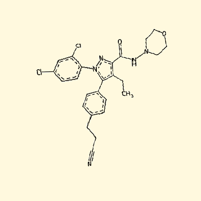 CCc1c(C(=O)NN2CCOCC2)nn(-c2ccc(Cl)cc2Cl)c1-c1ccc(CCC#N)cc1